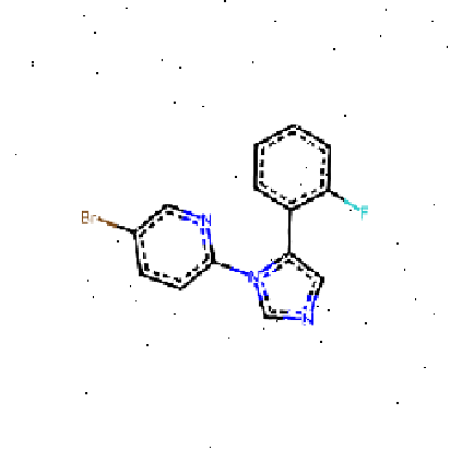 Fc1ccccc1-c1cncn1-c1ccc(Br)cn1